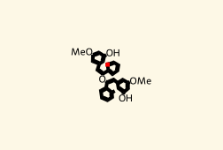 COc1cc(O)cc(/C=C(/O/C(=C/c2cc(O)cc(OC)c2)c2ccccc2C)c2ccccc2C)c1